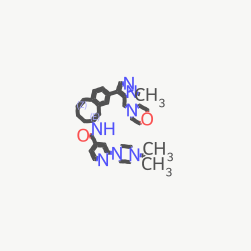 CC(C)N1CCN(c2cc(C(=O)N/C3=C/c4cc(-c5cnn(C)c5CN5CCOCC5)ccc4/C=C\CC3)ccn2)CC1